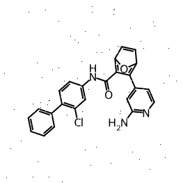 Nc1cc(-c2c(C(=O)Nc3ccc(-c4ccccc4)c(Cl)c3)c3ccc2o3)ccn1